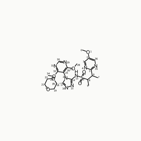 COc1cnc(C(C)C(C)S(=O)(=O)Nc2nnc([C@@H]3COCCO3)n2-c2c(OC)ncnc2OC)nc1